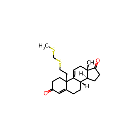 CSCSCC[C@]12CCC(=O)C=C1CC[C@@H]1C2=CC[C@]2(C)C(=O)CC[C@@H]12